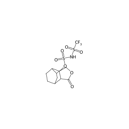 O=C1OCC2C3CCC(CC3OS(=O)(=O)NS(=O)(=O)C(F)(F)F)C12